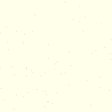 CCCCCCCCCc1ccccc1OCCC1(C(=O)O)CCOCCCCOC1